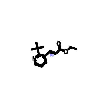 CCOC(=O)/C=C/c1cccnc1C(C)(C)C